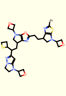 CC(C)c1nc2c(s1)N(C1COC1)CC2CCc1nc2c(o1)N(C1COC1)CC2CC(c1cc2n(n1)CCN2C1COC1)C1CCS1